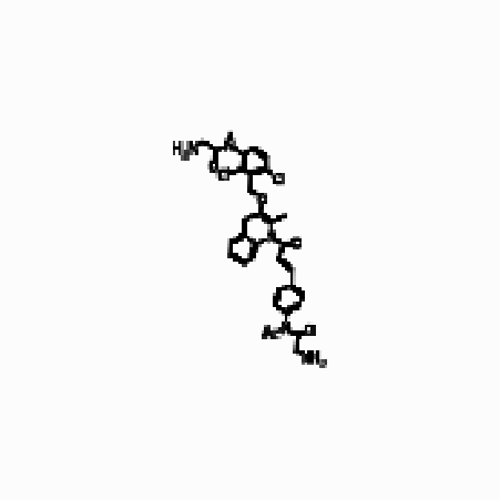 CC(=O)N(C(=O)CN)c1ccc(C=CC(=O)N2C(C)=C(OCc3c(Cl)ccc(N(C)C(=O)CN)c3Cl)Cc3ccccc32)cc1